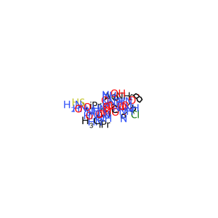 CC(=O)N[C@H](Cc1ccc2ccccc2c1)C(=O)N[C@H](Cc1ccc(Cl)cc1)C(=O)N[C@H](Cc1cccnc1)C(=O)N[C@@H](CO)C(=O)N(C)[C@@H](Cc1ccc(O)cc1)C(=O)N[C@H](CC(N)=O)C(=O)N[C@@H](CC(C)C)C(=O)N[C@@H](CCCCNC(C)C)C(=O)N1CCC[C@H]1C(=O)N[C@H](C)C(=O)NCC(=O)NCC(=O)N[C@@H](CS)C(N)=O